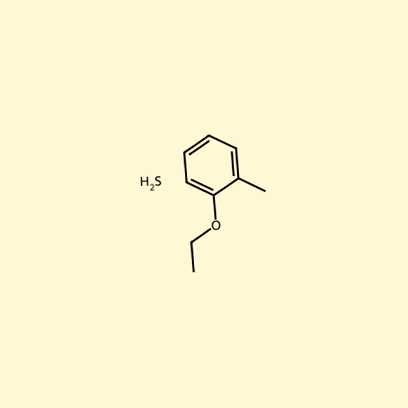 CCOc1ccccc1C.S